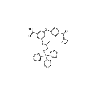 C[C@@H](COC(c1ccccc1)(c1ccccc1)c1ccccc1)Oc1cc(Oc2ccc(C(=O)N3CCC3)cc2)cc(C(=O)O)c1